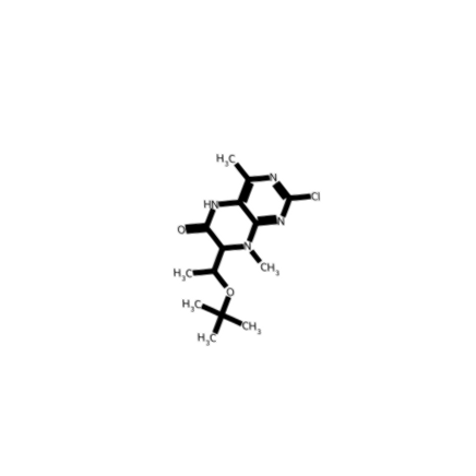 Cc1nc(Cl)nc2c1NC(=O)C(C(C)OC(C)(C)C)N2C